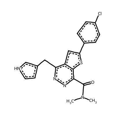 CN(C)C(=O)c1nnc(Cc2cc[nH]c2)c2cc(-c3ccc(Cl)cc3)sc12